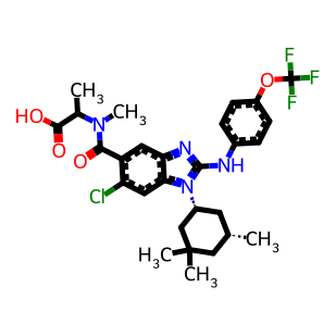 CC(C(=O)O)N(C)C(=O)c1cc2nc(Nc3ccc(OC(F)(F)F)cc3)n([C@@H]3C[C@H](C)CC(C)(C)C3)c2cc1Cl